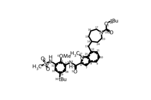 COc1c(NC(=O)c2cc3cccc(CC4CCCN(C(=O)OC(C)(C)C)CC4)c3n2C)cc(C(C)(C)C)cc1NS(C)(=O)=O